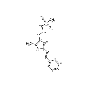 Cc1sc(/C=C/c2ccccc2)nc1CCOS(C)(=O)=O